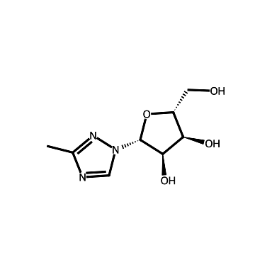 Cc1ncn([C@@H]2O[C@H](CO)[C@@H](O)[C@H]2O)n1